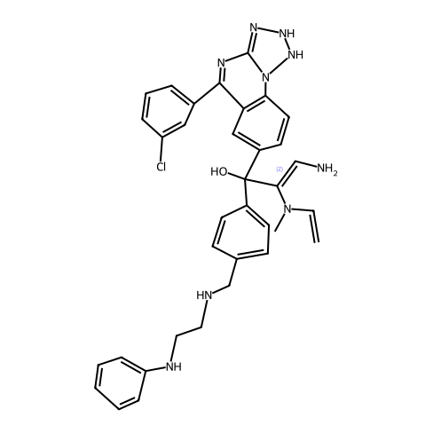 C=CN(C)/C(=C\N)C(O)(c1ccc(CNCCNc2ccccc2)cc1)c1ccc2c(c1)C(c1cccc(Cl)c1)=NC1=NNNN12